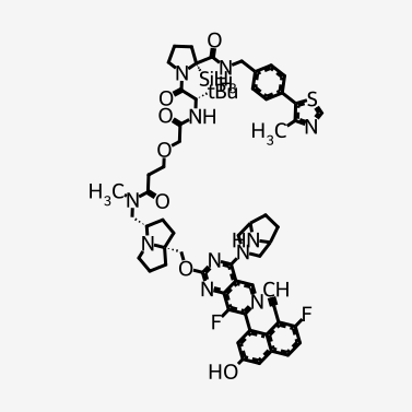 C#Cc1c(F)ccc2cc(O)cc(-c3ncc4c(N5CC6CCC(C5)N6)nc(OC[C@]56CCCN5[C@H](CN(C)C(=O)CCOCC(=O)N[C@H](C(=O)N5CCC[C@@]5([SiH3])C(=O)NCc5ccc(-c7scnc7C)cc5)C(C)(C)C)CC6)nc4c3F)c12